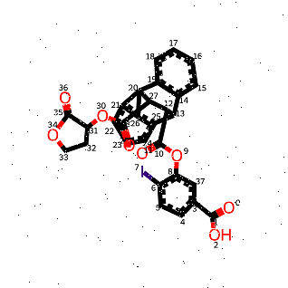 O=C(O)c1ccc(I)c(OC(=O)C2C3c4ccccc4C4(c5cccc3c54)C2C(=O)OC2CCOC2=O)c1